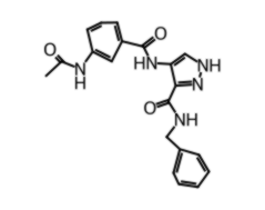 CC(=O)Nc1cccc(C(=O)Nc2c[nH]nc2C(=O)NCc2ccccc2)c1